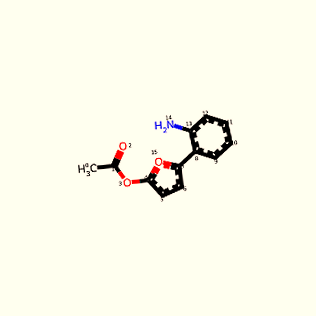 CC(=O)Oc1ccc(-c2ccccc2N)o1